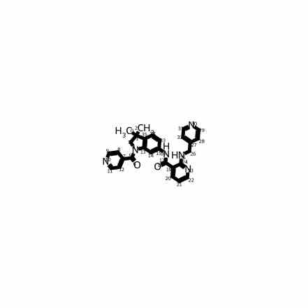 CC1(C)CN(C(=O)c2ccncc2)c2cc(NC(=O)c3cccnc3NCc3ccncc3)ccc21